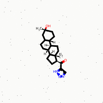 C[C@@]1(O)CC[C@H]2C(CC[C@@H]3[C@@H]2CC[C@]2(C)[C@@H](C(=O)c4cnn[nH]4)CC[C@@H]32)C1